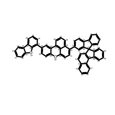 c1ccc2c(c1)-c1ccc(-c3ccc4c5c(cccc35)-c3cc(-c5cccc6c5oc5ccccc56)ccc3O4)cc1C21c2ccccc2-c2c1ccc1ccccc21